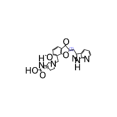 COc1ccc2c(c1CN1CC[C@H](NC(=O)O)C1)O/C(=C\c1n[nH]c3ncccc13)C2=O